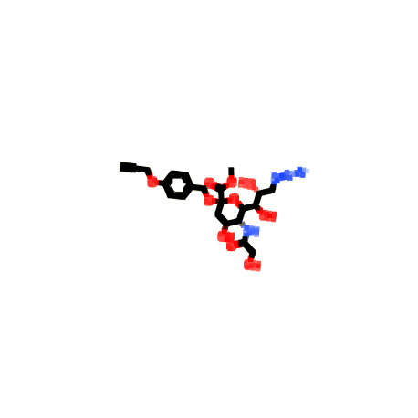 C#CCOc1ccc(CO[C@]2(C(=O)OC)C[C@H](O)[C@@H](NC(=O)CO)[C@H]([C@H](O)[C@H](O)CN=[N+]=[N-])O2)cc1